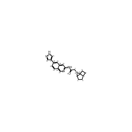 O=C(CN1C2CCC3CCC321)Nc1cc2cc(-c3cn[nH]c3)ccc2cn1